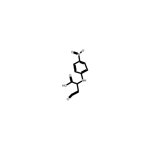 O=C=CC(Nc1ccc([N+](=O)[O-])cc1)C(=O)O